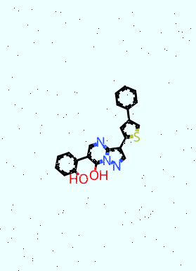 Oc1ccccc1-c1cnc2c(-c3cc(-c4ccccc4)cs3)cnn2c1O